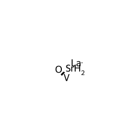 [La].[O]=[V].[SrH2]